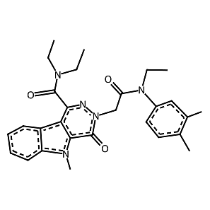 CCN(CC)C(=O)c1nn(CC(=O)N(CC)c2ccc(C)c(C)c2)c(=O)c2c1c1ccccc1n2C